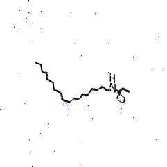 C=CC(=O)NCCCCCCCC/C=C\CCCCCCCC